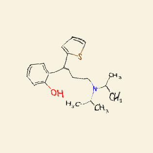 CC(C)N(CCC(c1cccs1)c1ccccc1O)C(C)C